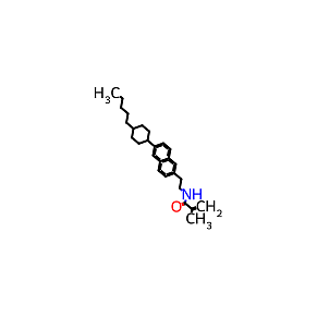 C=C(C)C(=O)NCCc1ccc2cc(C3CCC(CCCCC)CC3)ccc2c1